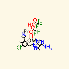 COc1c(CCn2nc(C)c3c(N)ncnc32)cc(Cl)c(C)c1C1CN(C(C)C)C1.O=C(O)C(F)(F)F.O=C(O)C(F)(F)F